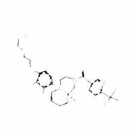 CCOCCOc1ccc([N+]23CCCC[C@H]2CN(C(=O)c2ccc(C(F)(F)F)nc2)CC3)c(C)c1C